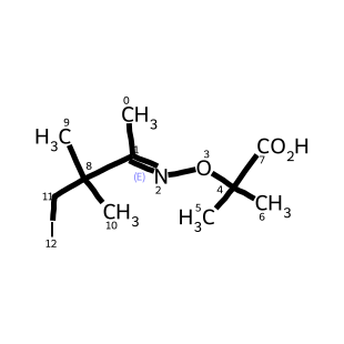 C/C(=N\OC(C)(C)C(=O)O)C(C)(C)CI